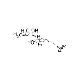 CC#CC[C@H](C)[C@H](O)/C=C/[C@@H]1[C@H]2C/C(=C/CCCCNC(C)C)C[C@H]2C[C@H]1O